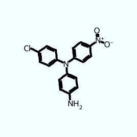 Nc1ccc(N(c2ccc(Cl)cc2)c2ccc([N+](=O)[O-])cc2)cc1